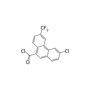 O=C(Cl)c1cc2ccc(Cl)cc2c2cc(C(F)(F)F)ccc12